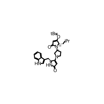 CC(C)C[C@H]1C(OC(C)(C)C)=CC(=O)N1[C@H]1CCN(C2=CC(=O)N[C@H]2Cc2c[nH]c3ccccc23)C1